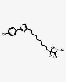 COC(=O)C(C)(C)OCCCCCCCc1coc(-c2ccc(Cl)cc2)n1